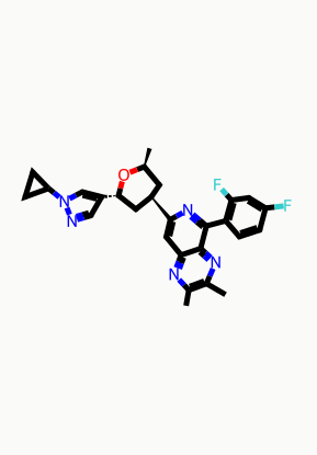 Cc1nc2cc([C@@H]3C[C@H](C)O[C@@H](c4cnn(C5CC5)c4)C3)nc(-c3ccc(F)cc3F)c2nc1C